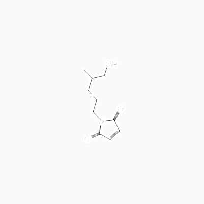 CC(CO)CCCN1C(=O)C=CC1=O